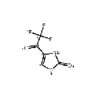 O=C(c1coc(=O)[nH]1)C(F)(F)F